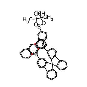 CC1(C)OB(c2ccc3c(c2)c2ccccc2n3-c2ccc3c(c2)C2(c4ccccc4-c4ccc(N(c5ccccc5)c5ccccc5)cc42)c2ccccc2-3)OC1(C)C